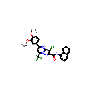 COc1ccc(-c2cc(C(F)(F)F)n3nc(C(=O)Nc4cccc5ccccc45)c(Cl)c3n2)cc1OC